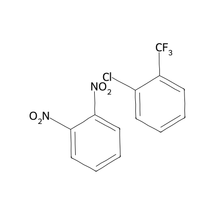 FC(F)(F)c1ccccc1Cl.O=[N+]([O-])c1ccccc1[N+](=O)[O-]